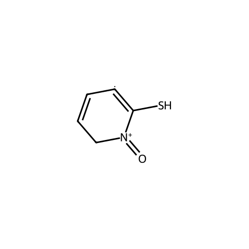 O=[N+]1CC=C[C]=C1S